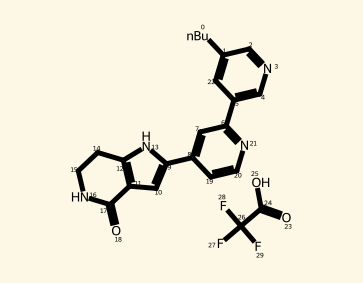 CCCCc1cncc(-c2cc(-c3cc4c([nH]3)CCNC4=O)ccn2)c1.O=C(O)C(F)(F)F